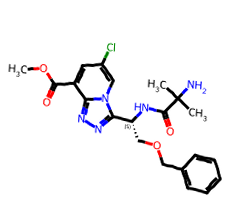 COC(=O)c1cc(Cl)cn2c([C@@H](COCc3ccccc3)NC(=O)C(C)(C)N)nnc12